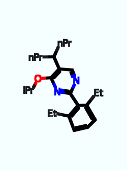 CCCC(CCC)c1cnc(-c2c(CC)cccc2CC)nc1OC(C)C